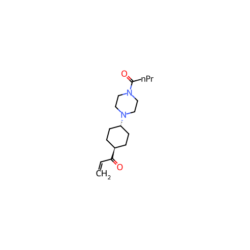 C=CC(=O)[C@H]1CC[C@H](N2CCN(C(=O)CCC)CC2)CC1